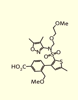 COCCOCN(c1noc(C)c1C)S(=O)(=O)c1sc(C)cc1-c1ccc(C(=O)O)cc1COC